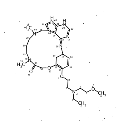 CCN(CCOC)CCOC1=C2CC(C=C1)/N=C1\N=CNc3[nH]cc(c31)CN(C)CCCN(C)C(=O)CO2